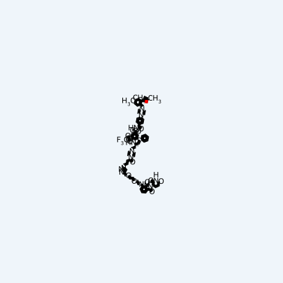 CC1(C)CCC(CN2CCN(c3ccc(C(=O)NS(=O)(=O)c4ccc(N[C@H](CCN5CCN(C(=O)CCCn6cc(COCCOCCNc7cccc8c7C(=O)N(C7CCC(=O)NC7=O)C8=O)nn6)CC5)CSc5ccccc5)c(S(=O)(=O)C(F)(F)F)c4)cc3)CC2)=C(C23CC(C)(C2)C3)C1